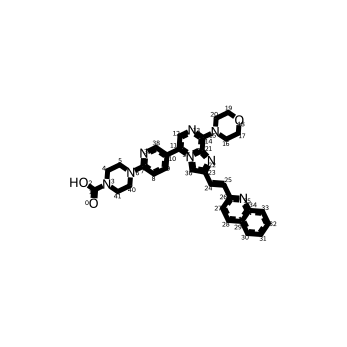 O=C(O)N1CCN(c2ccc(-c3cnc(N4CCOCC4)c4nc(/C=C/c5ccc6ccccc6n5)cn34)cn2)CC1